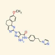 COc1ccc2c(c1)CCc1cnc(-n3cc(C(=O)Nc4ccc(CCn5ccnc5)cc4)c(N)n3)nc1-2